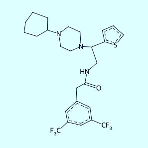 O=C(Cc1cc(C(F)(F)F)cc(C(F)(F)F)c1)NCC(c1cccs1)N1CCN(C2CCCCC2)CC1